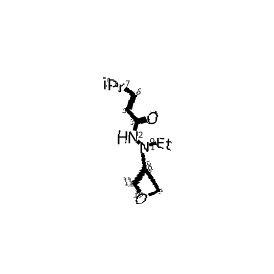 CCN(NC(=O)C=CC(C)C)C1COC1